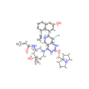 C#Cc1cccc2cc(O)cc(-c3ncc4c(N5CC[C@](C)(O)C[C@@H](NC(=O)C=C)C5)nc(OCC56CCCN5CCC6)nc4c3F)c12